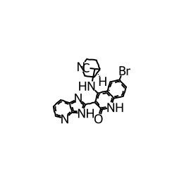 O=c1[nH]c2ccc(Br)cc2c(N[C@H]2CN3CCC2CC3)c1-c1nc2cccnc2[nH]1